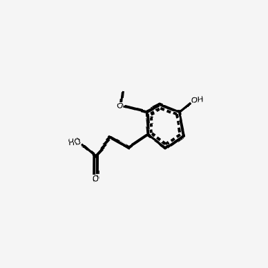 COc1cc(O)ccc1CCC(=O)O